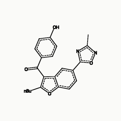 CCCCc1oc2ccc(-c3nc(C)no3)cc2c1C(=O)c1ccc(O)cc1